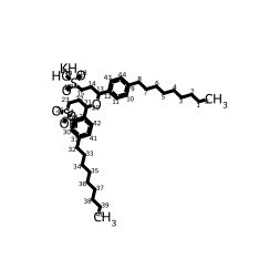 CCCCCCCCCc1ccc(C(CCS(=O)(=O)O)OC(CCS(=O)(=O)O)c2ccc(CCCCCCCCC)cc2)cc1.[KH]